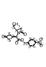 CSC1CC(=O)N1C(C(=O)OCc1ccc([N+](=O)[O-])cc1)=C1SC(=O)S1